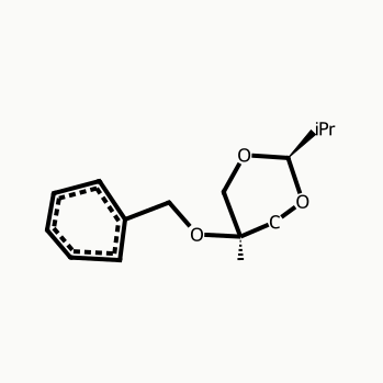 CC(C)[C@H]1OC[C@@](C)(OCc2ccccc2)CO1